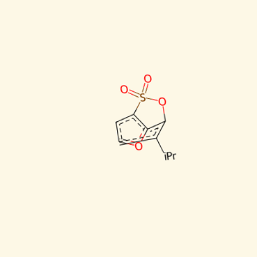 CC(C)c1c2c3oc1cc3S(=O)(=O)O2